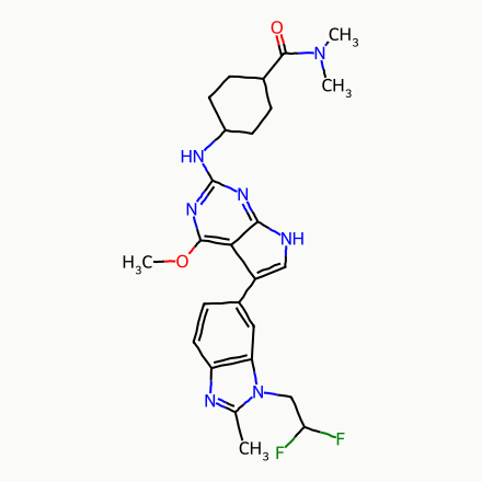 COc1nc(NC2CCC(C(=O)N(C)C)CC2)nc2[nH]cc(-c3ccc4nc(C)n(CC(F)F)c4c3)c12